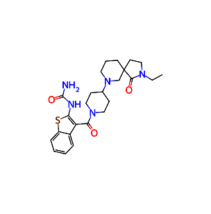 CCN1CCC2(CCCN(C3CCN(C(=O)c4c(NC(N)=O)sc5ccccc45)CC3)C2)C1=O